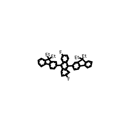 CCC1(CC)c2ccccc2-c2ccc(-c3c4ccc(F)cc4c(-c4ccc5c(c4)C(CC)(CC)c4ccccc4-5)c4ccc(F)cc34)cc21